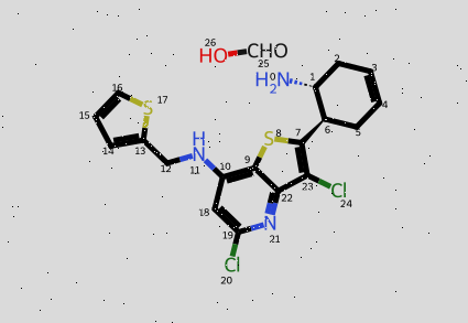 N[C@@H]1CC=CC[C@H]1c1sc2c(NCc3cccs3)cc(Cl)nc2c1Cl.O=CO